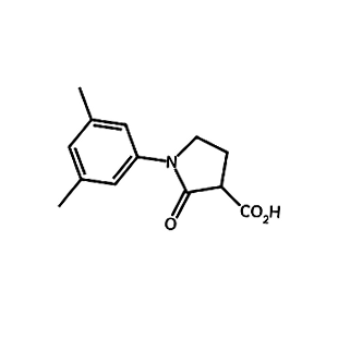 Cc1cc(C)cc(N2CCC(C(=O)O)C2=O)c1